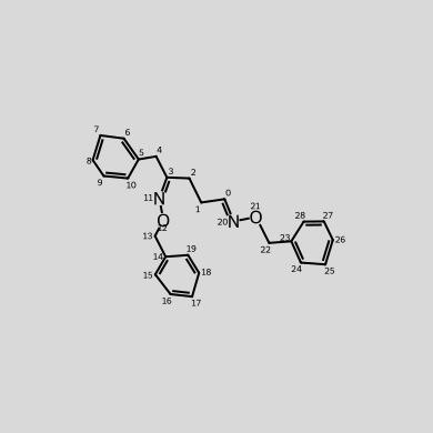 C(CCC(Cc1ccccc1)=NOCc1ccccc1)=NOCc1ccccc1